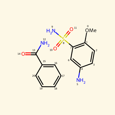 COc1ccc(N)cc1S(N)(=O)=O.NC(=O)c1ccccc1